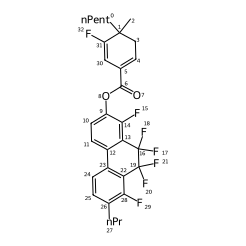 CCCCCC1(C)CC=C(C(=O)Oc2ccc3c(c2F)C(F)(F)C(F)(F)c2c-3ccc(CCC)c2F)C=C1F